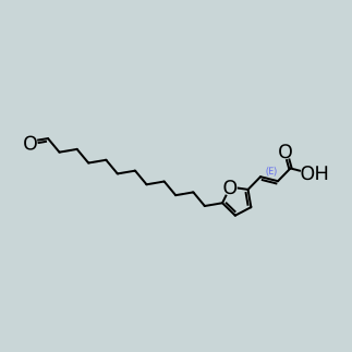 O=CCCCCCCCCCCCc1ccc(/C=C/C(=O)O)o1